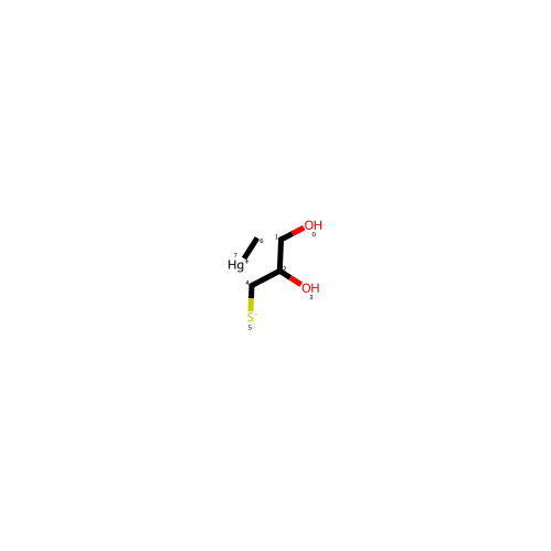 OCC(O)C[S-].[CH3][Hg+]